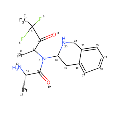 CC(C)C(C(=O)C(F)(F)C(F)(F)F)N(C(=O)[C@@H](N)C(C)C)C1Cc2ccccc2CN1